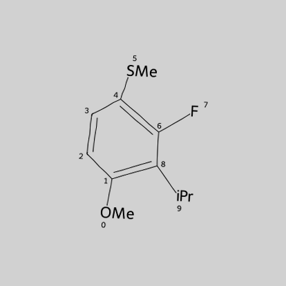 COc1ccc(SC)c(F)c1C(C)C